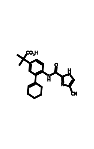 CC(C)(C(=O)O)c1ccc(NC(=O)c2nc(C#N)c[nH]2)c(C2=CCCCC2)c1